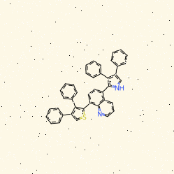 c1ccc(-c2c[nH]c(-c3ccc(-c4scc(-c5ccccc5)c4-c4ccccc4)c4ncccc34)c2-c2ccccc2)cc1